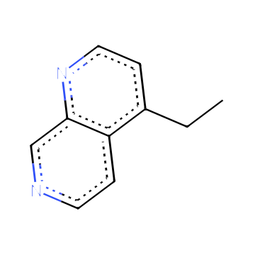 CCc1ccnc2cnccc12